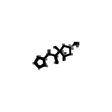 C[C@@]1(C(=O)Nc2nccs2)C[C@H](O)CN1